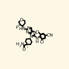 C[C@]1(C(N)=O)CC[C@@H](n2c(Nc3c(Cl)cc(C#N)cc3Cl)nc3cnc(N[C@@H]4CCOC[C@H]4F)nc32)CC1